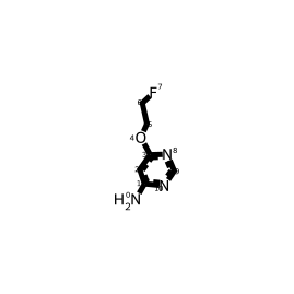 Nc1cc(OCCF)ncn1